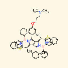 Cc1ccccc1-c1c2/c(=C(\C#N)c3nc4ccccc4s3)n(B(c3ccccc3)c3ccccc3)c(-c3ccc(OCCCN(C)C)cc3)c2/c(=C(\C#N)c2nc3ccccc3s2)n1B(c1ccccc1)c1ccccc1